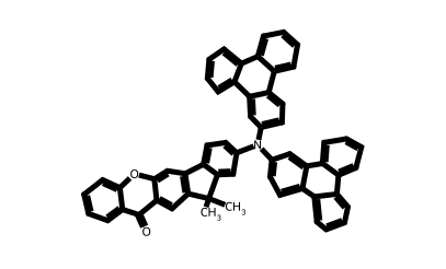 CC1(C)c2cc(N(c3ccc4c5ccccc5c5ccccc5c4c3)c3ccc4c5ccccc5c5ccccc5c4c3)ccc2-c2cc3oc4ccccc4c(=O)c3cc21